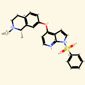 C[C@H]1c2cc(Oc3ccnc4c3ccn4S(=O)(=O)c3ccccc3)ccc2CCN1C(=O)O